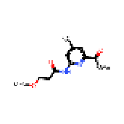 CNOCCC(=O)Nc1cc(C(F)(F)F)cc(C(=O)OC)n1